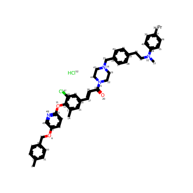 Cc1ccc(COc2ccc(Oc3c(C)cc(/C=C/C(=O)N4CCN(Cc5ccc(CCN(C)c6ccc(C(C)C)cc6)cc5)CC4)cc3Cl)nc2)cc1.Cl